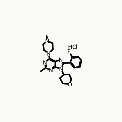 Cc1nc(N2CCN(C)CC2)c2nc(-c3ccccc3F)n(C3CCOCC3)c2n1.Cl